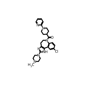 CN1CCN(c2nc3c([nH]2)-c2cc(Cl)ccc2N(C(=O)C2CCN(c4ccccn4)CC2)CC3)CC1